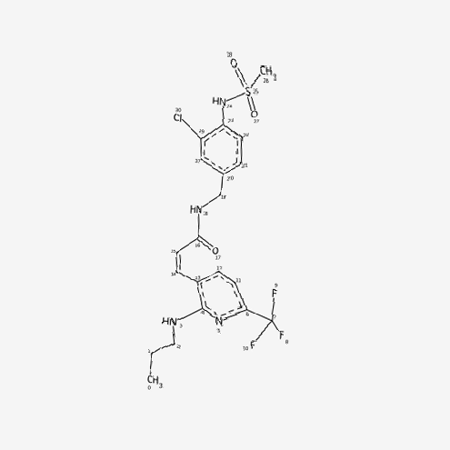 CCCNc1nc(C(F)(F)F)ccc1/C=C\C(=O)NCc1ccc(NS(C)(=O)=O)c(Cl)c1